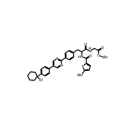 CCC1(c2ccc(-c3cnc(-c4ccc(CC(NC(=O)c5ccc(C(C)(C)C)s5)C(=O)NCC(=O)OC(C)(C)C)cc4)nc3)cc2)CCCCC1